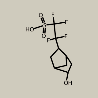 O=S(=O)(O)C(F)(F)C(F)(F)C1CC2CC1CC2O